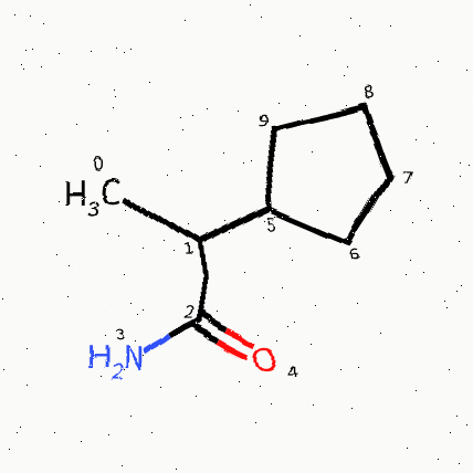 CC(C(N)=O)C1CCCC1